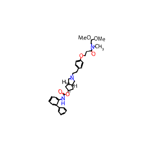 COC(CN(C)C(=O)CCOc1ccc(CCN2C[C@H]3C[C@H](OC(=O)Nc4ccccc4-c4ccccc4)C[C@H]3C2)cc1)OC